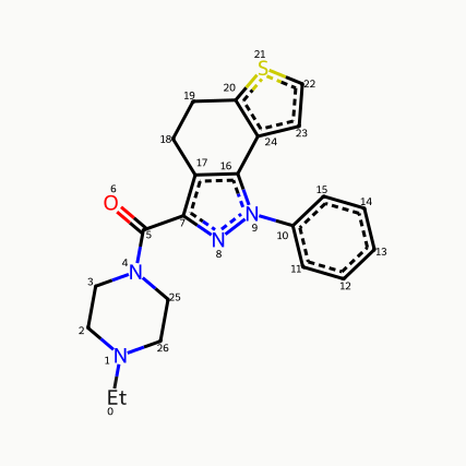 CCN1CCN(C(=O)c2nn(-c3ccccc3)c3c2CCc2sccc2-3)CC1